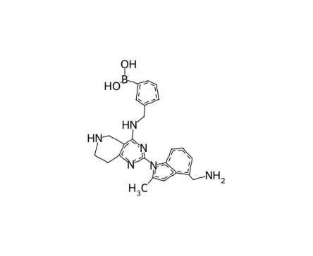 Cc1cc2c(CN)cccc2n1-c1nc2c(c(NCc3cccc(B(O)O)c3)n1)CNCC2